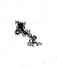 CC(C)C=C(C#N)C(=O)N1CCCC1COCCC(=O)N[C@H](Cc1ccccc1)B1O[C@@H]2C[C@@H]3C[C@@H](C3(C)C)[C@]2(C)O1